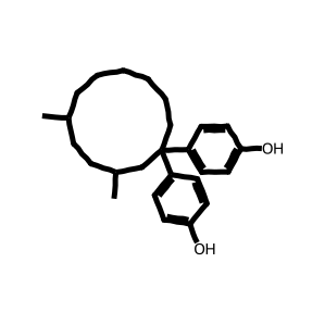 CC1CCCCCCC(c2ccc(O)cc2)(c2ccc(O)cc2)CC(C)CC1